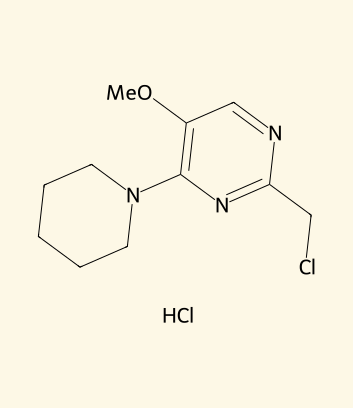 COc1cnc(CCl)nc1N1CCCCC1.Cl